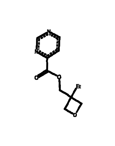 CCC1(COC(=O)c2ccncn2)COC1